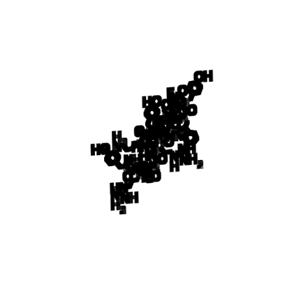 N=C(N)NCCC[C@H](NC(=O)[C@H](CO)NC(=O)[C@H](CCCNC(=N)N)NC(=O)[C@@H](N)Cc1ccc(O)cc1)C(=O)N[C@@H](CCCCN)C(=O)N[C@@H](Cc1ccc(O)cc1)C(=O)N[C@@H](CO)C(=O)N[C@@H](CO)C(=O)N[C@@H](Cc1c[nH]c2ccccc12)C(=O)N[C@@H](Cc1ccc(O)cc1)C(=O)N(F)F